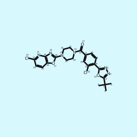 CC(C)(C)c1nnc(-c2ccc(C(=O)N3CCN(c4nc5nc(Cl)ccc5o4)CC3)cc2Cl)o1